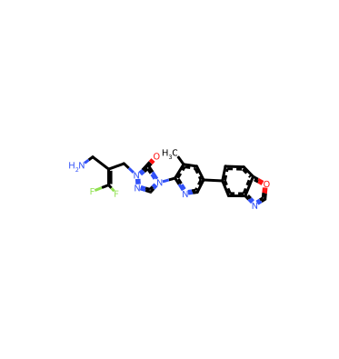 Cc1cc(-c2ccc3ocnc3c2)cnc1-n1cnn(CC(CN)=C(F)F)c1=O